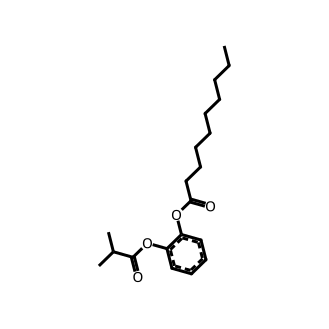 CCCCCCCCCC(=O)Oc1ccccc1OC(=O)C(C)C